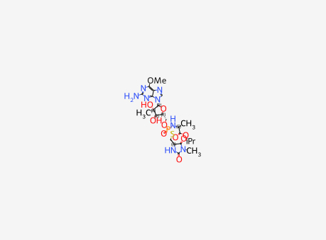 COc1nc(N)nc2c1ncn2[C@@H]1O[C@H](COP(=O)(N[C@@H](C)C(=O)OC(C)C)SC[C@@H]2NC(=O)N(C)C2=O)[C@@H](O)[C@@]1(C)O